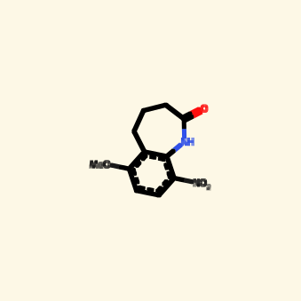 COc1ccc([N+](=O)[O-])c2c1CCCC(=O)N2